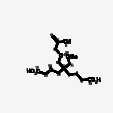 C=C(O)COCC(CCCC(=O)O)(COC)COCC(=O)O